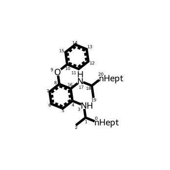 CCCCCCCC(C)Nc1cccc(Oc2ccccc2)c1NC(C)CCCCCCC